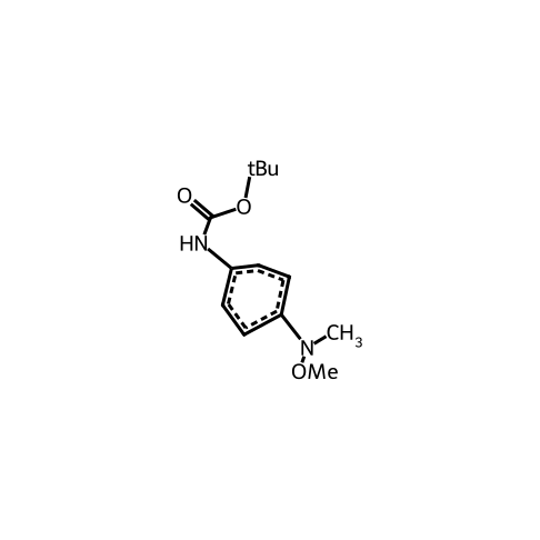 CON(C)c1ccc(NC(=O)OC(C)(C)C)cc1